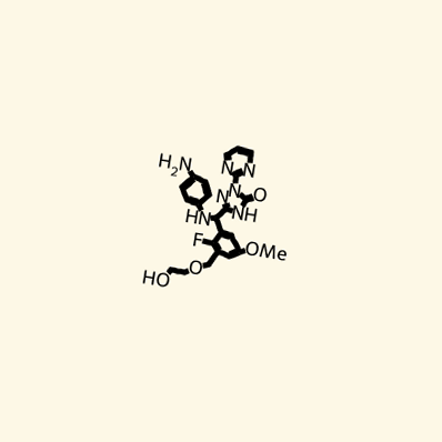 COc1cc(COCCO)c(F)c(C(Nc2ccc(N)cc2)c2nn(-c3ncccn3)c(=O)[nH]2)c1